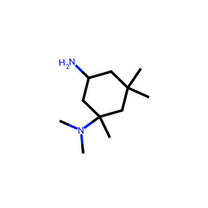 CN(C)C1(C)CC(N)CC(C)(C)C1